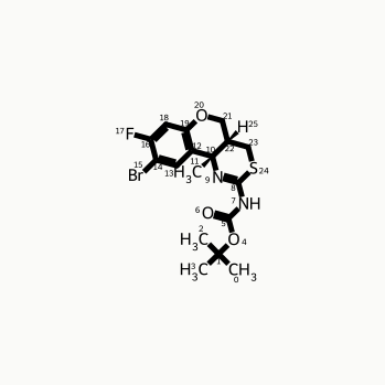 CC(C)(C)OC(=O)NC1=N[C@]2(C)c3cc(Br)c(F)cc3OC[C@@H]2CS1